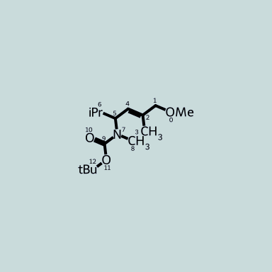 COC/C(C)=C/C(C(C)C)N(C)C(=O)OC(C)(C)C